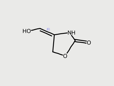 O=C1N/C(=C/O)CO1